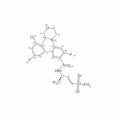 C[C@H](/C=C/S(C)(=O)=O)NC(=O)c1ccc(N2CCOCC2c2ccc(F)cc2Cl)cc1F